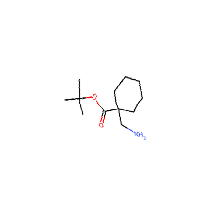 CC(C)(C)OC(=O)C1(CN)CCCCC1